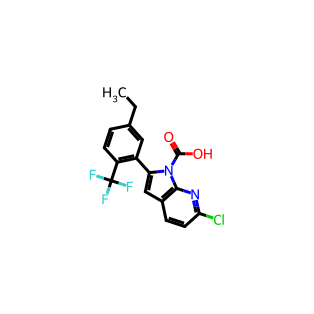 CCc1ccc(C(F)(F)F)c(-c2cc3ccc(Cl)nc3n2C(=O)O)c1